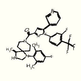 C=C1NCN(c2c(C)cc(F)cc2C)C12CCN(C(=O)c1cc(-c3cccnc3)n(-c3ccc(C(F)(F)F)c(F)c3)n1)CC2